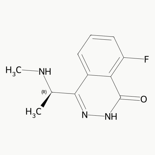 CN[C@H](C)c1n[nH]c(=O)c2c(F)cccc12